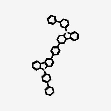 C1=CC2c3cc(-c4ccc(C5CCC6C(C5)c5ccccc5N6C5=CCCC(c6ccccc6)C5)cc4)ccc3N(C3=CC=C(C4=CCCCC4)CC3)C2C=C1